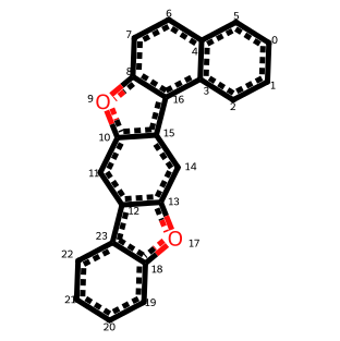 c1ccc2c(c1)ccc1oc3cc4c(cc3c12)oc1ccccc14